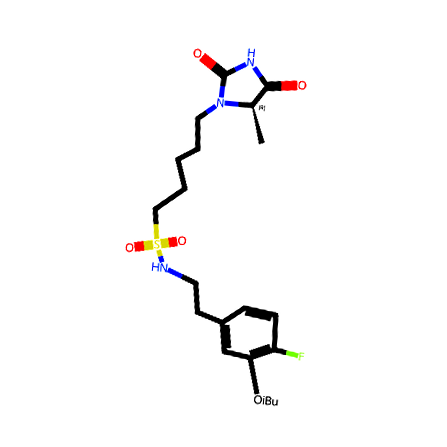 CC(C)COc1cc(CCNS(=O)(=O)CCCCCN2C(=O)NC(=O)[C@H]2C)ccc1F